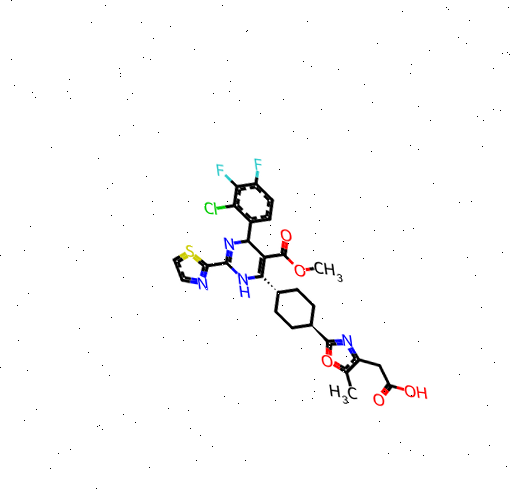 COC(=O)C1=C([C@H]2CC[C@H](c3nc(CC(=O)O)c(C)o3)CC2)NC(c2nccs2)=NC1c1ccc(F)c(F)c1Cl